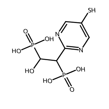 O=P(O)(O)C(O)C(c1ncc(S)cn1)P(=O)(O)O